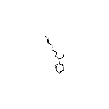 C/C=C/CCCCC(CC)c1ccccc1